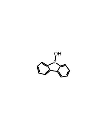 Op1c2ccccc2c2ccccc21